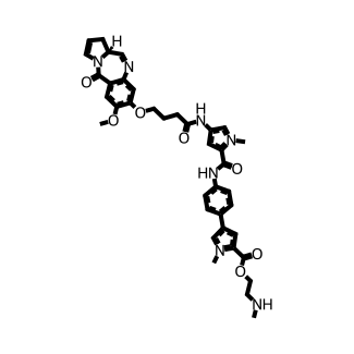 CNCCOC(=O)c1cc(-c2ccc(NC(=O)c3cc(NC(=O)CCCOc4cc5c(cc4OC)C(=O)N4C=CC[C@@H]4C=N5)cn3C)cc2)cn1C